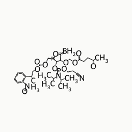 B[C@@H]1O[C@H](COC(=O)OCC(C)c2ccccc2N=O)C(OP(OCCC#N)N(C(C)C)C(C)C)C1OCOC(=O)CCC(C)=O